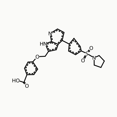 O=C(O)c1ccc(OCc2cc3c(-c4ccc(S(=O)(=O)N5CCCC5)cc4)ccnc3[nH]2)cc1